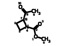 COC(=O)N1CC[C@H]1C(C)=O